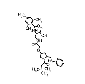 Cc1cc(C)c(C(=O)NC(CNC(=O)COC2CC(CNc3ccccn3)N(C(=O)CC(C)(C)C)C2)C(=O)O)c(C)c1